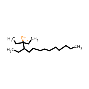 CCCCCCCCCCC(CC)C(P)(CC)CC